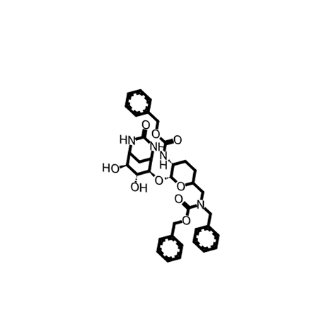 O=C1NC2CC(N1)[C@H](O)[C@@H](O)[C@@H]2O[C@H]1OC(CN(Cc2ccccc2)C(=O)OCc2ccccc2)CC[C@H]1NC(=O)OCc1ccccc1